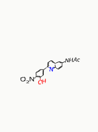 CC(=O)Nc1ccc2nc(-c3ccc([N+](=O)[O-])c(O)c3)ccc2c1